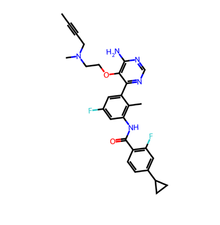 CC#CCN(C)CCOc1c(N)ncnc1-c1cc(F)cc(NC(=O)c2ccc(C3CC3)cc2F)c1C